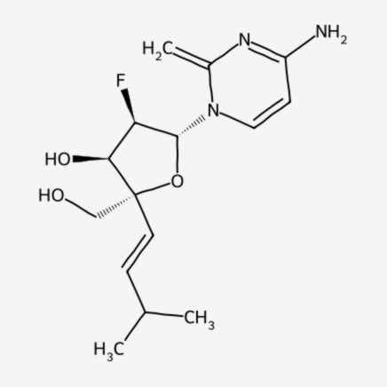 C=C1N=C(N)C=CN1[C@@H]1O[C@](/C=C/C(C)C)(CO)[C@@H](O)[C@H]1F